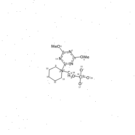 COc1nc(OC)nc([N+]2(C)CCCCC2)n1.[O-][Cl+3]([O-])([O-])[O-]